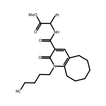 COC(=O)C(NC(=O)c1cc2c(n(CCCCC#N)c1=O)CCCCCC2)C(C)C